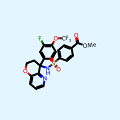 COC(=O)c1ccc(S(=O)(=O)NC2(c3ccc(OC(F)(F)F)c(F)c3)CCOc3cccnc32)cc1